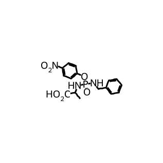 CC(NP(=O)(NCc1ccccc1)Oc1ccc([N+](=O)[O-])cc1)C(=O)O